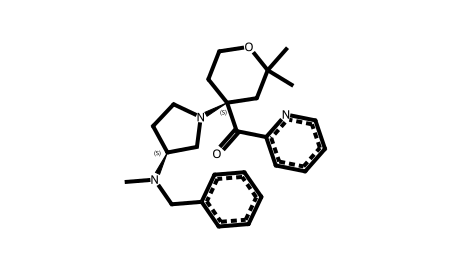 CN(Cc1ccccc1)[C@H]1CCN([C@@]2(C(=O)c3ccccn3)CCOC(C)(C)C2)C1